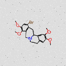 COc1cc2c(cc1OC)C1Cc3c(Br)cc(OC)c(OC)c3CN1CC2